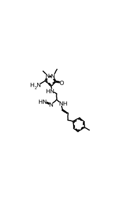 Cc1ccc(C/C=C/NC(CNc2c(N)n(C)n(C)c2=O)N=N)cc1